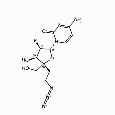 [N-]=[N+]=NCC[C@]1(CO)O[C@@H](n2ccc(N)nc2=O)[C@H](F)[C@@H]1O